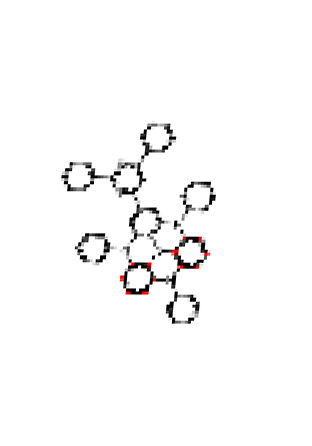 c1ccc(-c2nc(-c3ccccc3)nc(-c3cc(N(c4ccccc4)c4ccccc4)c(N4c5ccccc5N(c5ccccc5)c5ccccc54)c(N(c4ccccc4)c4ccccc4)c3)n2)cc1